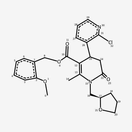 COc1ccccc1COC(=O)C1=C(C)N(C[C@H]2CCCO2)C(=O)CC1c1cccnc1Cl